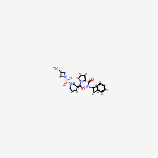 N#CC1CN(S(=O)(=O)N2CCCC(C(=O)N3CCC[C@@H]3C(=O)NC3Cc4ccccc43)C2)C1